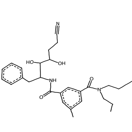 CCCN(CCC)C(=O)c1cc(C)cc(C(=O)NC(Cc2ccccc2)C(O)C(O)CCC#N)c1